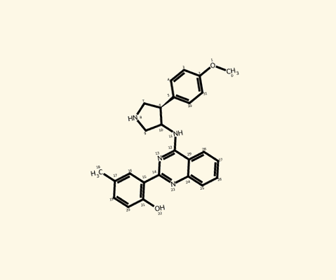 COc1ccc([C@@H]2CNCC2Nc2nc(-c3cc(C)ccc3O)nc3ccccc23)cc1